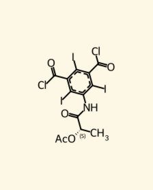 CC(=O)O[C@@H](C)C(=O)Nc1c(I)c(C(=O)Cl)c(I)c(C(=O)Cl)c1I